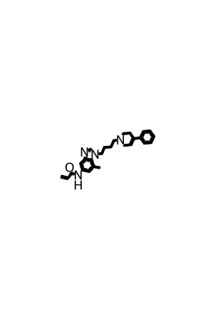 C=CC(=O)Nc1cc(C)c2c(c1)ncn2CCCCN1CC=C(c2ccccc2)CC1